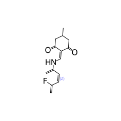 C=C(F)/C=C\C(=C)NC=C1C(=O)CC(C)CC1=O